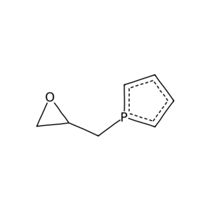 c1ccp(CC2CO2)c1